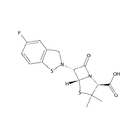 CC1(C)S[C@@H]2[C@H](N3Cc4cc(F)ccc4S3)C(=O)N2[C@H]1C(=O)O